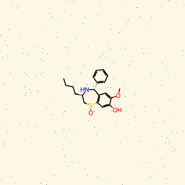 CCCC[C@@H]1C[S@+]([O-])c2cc(O)c(OC)cc2[C@@H](c2ccccc2)N1